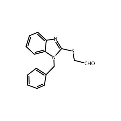 O=CCSc1nc2ccccc2n1Cc1ccccc1